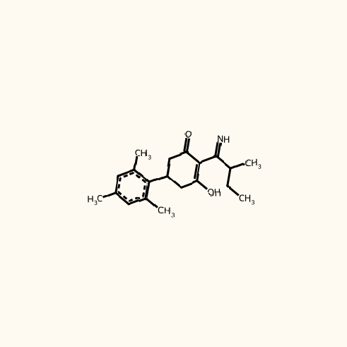 CCC(C)C(=N)C1=C(O)CC(c2c(C)cc(C)cc2C)CC1=O